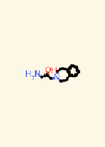 NC[C@H](O)CN1CCc2ccccc2CC1